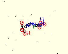 COc1ccc(C2COc3cc(O)ccc3C2c2ccc(N3CCC(CN4CCN(c5cc6c(cc5F)C(=O)N([C@H]5CCC(=O)NC5=O)C6)CC4)CC3)cc2)cc1